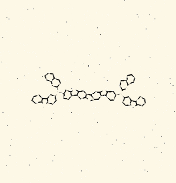 c1ccc2nc(N(c3ccc4c(c3)oc3cc5c(cc34)sc3cc4c(cc35)oc3cc(N(c5ccc6oc7ccccc7c6c5)c5ccc6ccccc6n5)ccc34)c3ccc4oc5ccccc5c4c3)ccc2c1